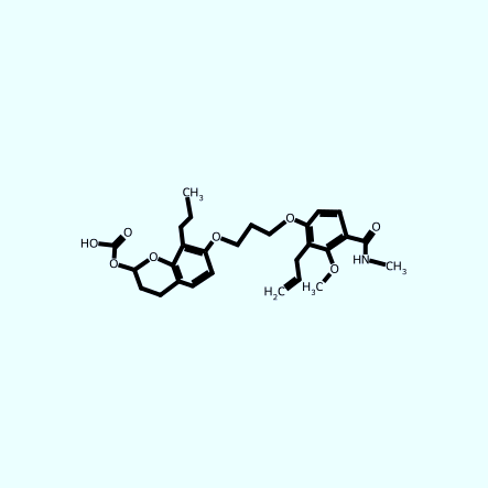 C=CCc1c(OCCCOc2ccc3c(c2CCC)OC(OC(=O)O)CC3)ccc(C(=O)NC)c1OC